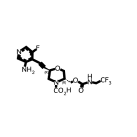 Nc1cncc(F)c1C#C[C@@H]1CN(C(=O)O)[C@@H](COC(=O)NCC(F)(F)F)CO1